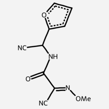 CON=C(C#N)C(=O)NC(C#N)c1ccco1